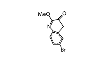 COC1=Nc2ccc(Br)cc2CC1=O